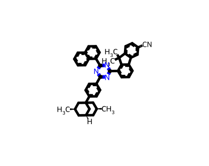 C[C@@H]1C[C@@H]2C[C@H](C)CC(c3ccc(-c4nc(-c5cccc6c5C(C)(C)c5ccc(C#N)cc5-6)nc(-c5cccc6ccccc56)n4)cc3)(C1)C2